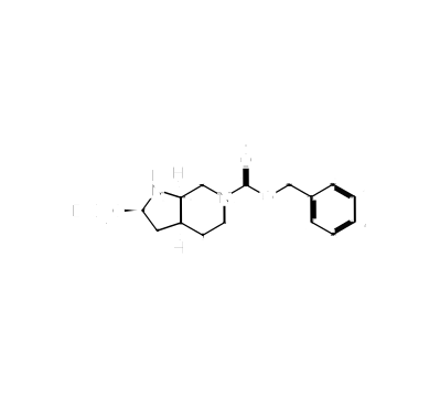 CCOC(=O)[C@@H]1C[C@@H]2CCN(C(=O)OCc3ccccc3)C[C@@H]2N1